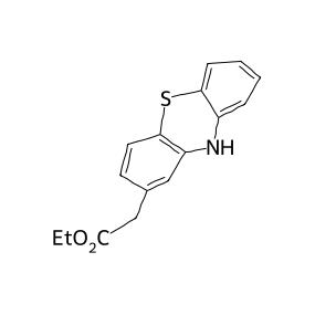 CCOC(=O)Cc1ccc2c(c1)Nc1ccccc1S2